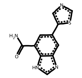 NC(=O)c1cc(-c2cncs2)cc2nc[nH]c12